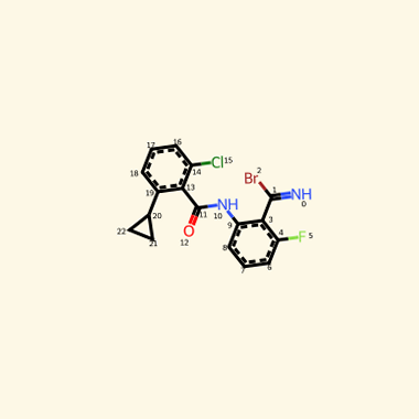 N=C(Br)c1c(F)cccc1NC(=O)c1c(Cl)cccc1C1CC1